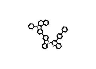 C1=CCC(n2c3c(c4cc(-c5ccc6c(c5)c5ccccc5n6-c5cc(-c6ccc(-c7ccccc7)cc6)c6c(n5)=CCCC=6)ccc42)-c2ccccc2CC3)C=C1